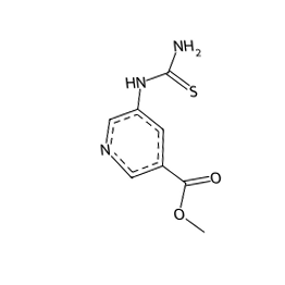 COC(=O)c1cncc(NC(N)=S)c1